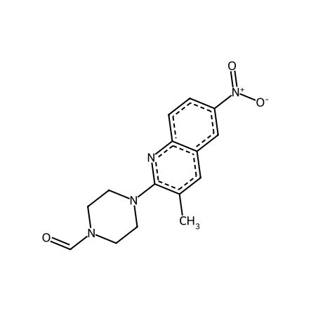 Cc1cc2cc([N+](=O)[O-])ccc2nc1N1CCN(C=O)CC1